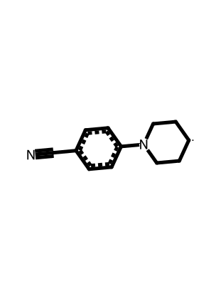 N#Cc1ccc(N2CC[CH]CC2)cc1